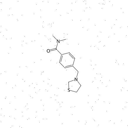 CN(C)C(=O)c1ccc(CN2CCSC2)cc1